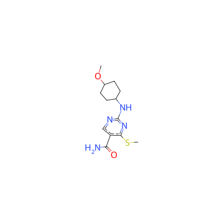 COC1CCC(Nc2ncc(C(N)=O)c(SC)n2)CC1